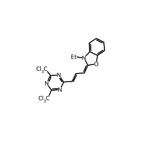 CCN1C(=CC=Cc2nc(C(Cl)(Cl)Cl)nc(C(Cl)(Cl)Cl)n2)Oc2ccccc21